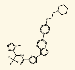 Cn1ccnc1C(NC(=O)c1cc(-c2cnn3cc(-c4ccc(OCCN5CCCCC5)cc4)cnc23)cs1)C(F)(F)F